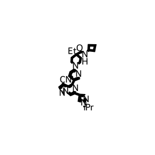 CCC1(C(=O)NC2CCC2)CCN(c2ccc(-c3nc(-c4cnn(C(C)C)c4)cn4ncc(C#N)c34)cn2)CC1